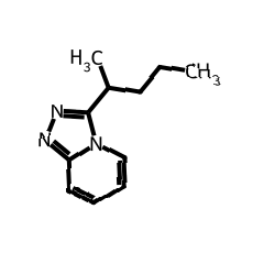 CCCC(C)c1nnc2ccccn12